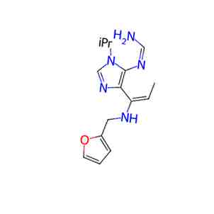 C/C=C(/NCc1ccco1)c1ncn(C(C)C)c1/N=C\N